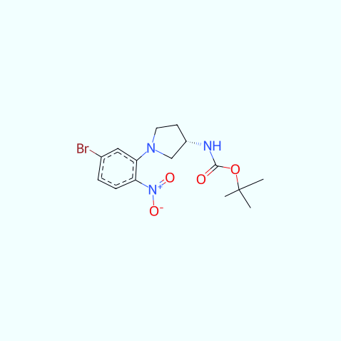 CC(C)(C)OC(=O)N[C@H]1CCN(c2cc(Br)ccc2[N+](=O)[O-])C1